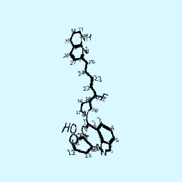 O=C(O)C(c1cccc2cnn([C@H]3CCOC3)c12)N1CC[C@@H]([C@H](F)CCCCc2ccc3c(n2)NCCC3)C1